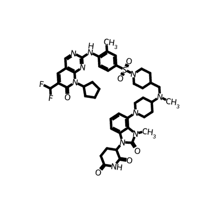 Cc1cc(S(=O)(=O)N2CCC(CN(C)C3CCN(c4cccc5c4n(C)c(=O)n5C4CCC(=O)NC4=O)CC3)CC2)ccc1Nc1ncc2cc(C(F)F)c(=O)n(C3CCCC3)c2n1